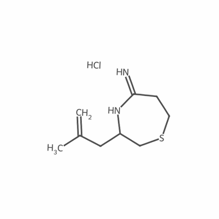 C=C(C)CC1CSCCC(=N)N1.Cl